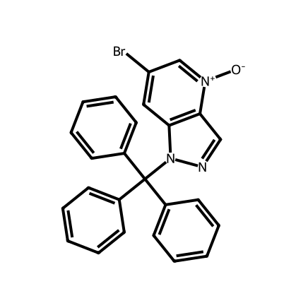 [O-][n+]1cc(Br)cc2c1cnn2C(c1ccccc1)(c1ccccc1)c1ccccc1